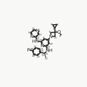 COC1(C2CC2)CN(c2cc(Nc3cnccn3)nc(N[C@@H](C)c3ccc(F)cc3)c2)C1